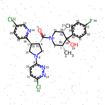 C[C@@H]1CN(C(=O)[C@@H]2CN(c3ccc(Cl)nn3)C[C@H]2c2ccc(Cl)cn2)C[C@H](C)[C@]1(O)c1ccc(F)cc1